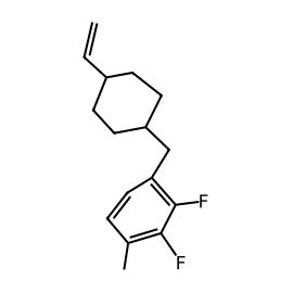 C=CC1CCC(Cc2ccc(C)c(F)c2F)CC1